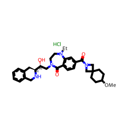 CCN1CCN(C[C@@H](O)[C@@H]2Cc3ccccc3CN2)C(=O)c2ccc(C(=O)N3CC4(CCC(OC)CC4)C3)cc21.Cl